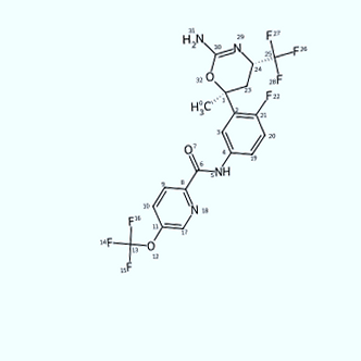 C[C@@]1(c2cc(NC(=O)c3ccc(OC(F)(F)F)cn3)ccc2F)C[C@@H](C(F)(F)F)N=C(N)O1